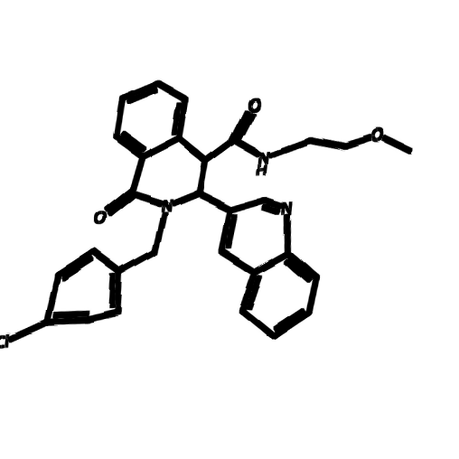 COCCNC(=O)C1c2ccccc2C(=O)N(Cc2ccc(Cl)cc2)C1c1cnc2ccccc2c1